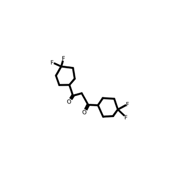 O=C(CC(=O)C1CCC(F)(F)CC1)C1CCC(F)(F)CC1